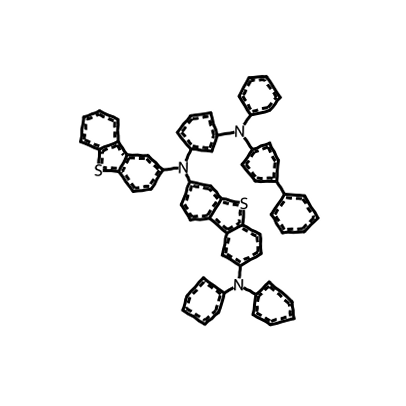 c1ccc(-c2ccc(N(c3ccccc3)c3cccc(N(c4ccc5c(c4)sc4ccc(N(c6ccccc6)c6ccccc6)cc45)c4ccc5sc6ccccc6c5c4)c3)cc2)cc1